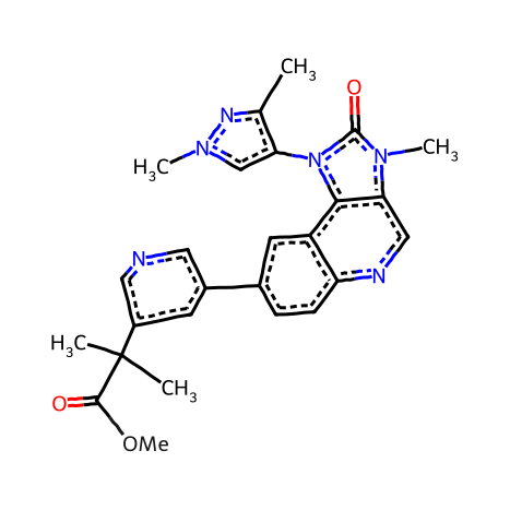 COC(=O)C(C)(C)c1cncc(-c2ccc3ncc4c(c3c2)n(-c2cn(C)nc2C)c(=O)n4C)c1